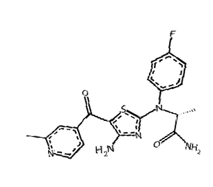 Cc1cc(C(=O)c2sc(N(c3ccc(F)cc3)[C@H](C)C(N)=O)nc2N)ccn1